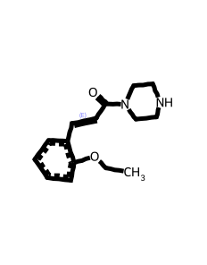 CCOc1ccccc1/C=C/C(=O)N1CCNCC1